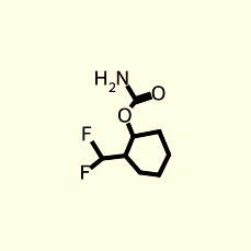 NC(=O)OC1CCCCC1C(F)F